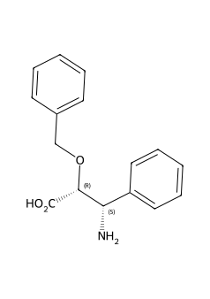 N[C@@H](c1ccccc1)[C@@H](OCc1ccccc1)C(=O)O